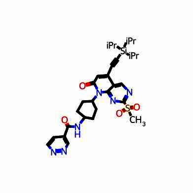 CC(C)[Si](C#Cc1cc(=O)n(C2CCC(NC(=O)c3ccnnc3)CC2)c2nc(S(C)(=O)=O)ncc12)(C(C)C)C(C)C